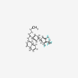 CCCCC(Cc1ccc2ccccc2c1)c1ccc(-c2cc(F)c(C(F)(F)F)c(F)c2)cc1